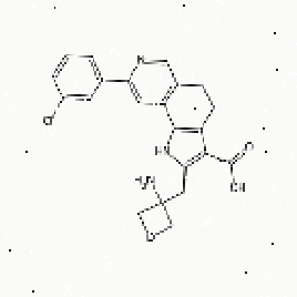 NC1(Cc2[nH]c3c(c2C(=O)O)CCc2cnc(-c4cccc(Cl)c4)cc2-3)COC1